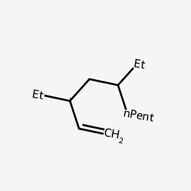 C=C[C](CC)CC(CC)CCCCC